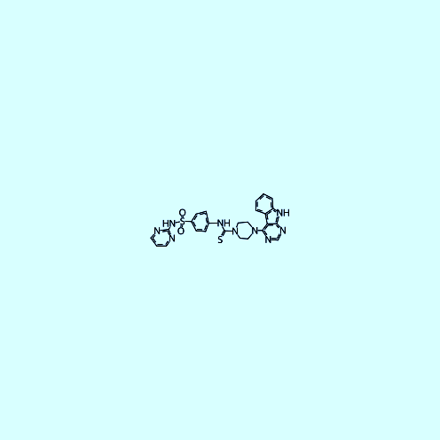 O=S(=O)(Nc1ncccn1)c1ccc(NC(=S)N2CCN(c3ncnc4[nH]c5ccccc5c34)CC2)cc1